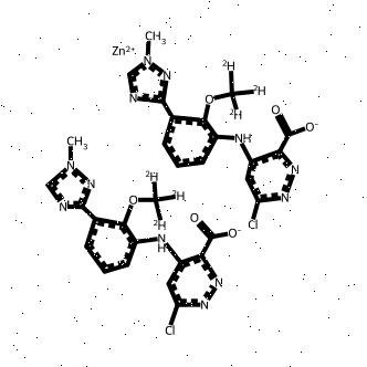 [2H]C([2H])([2H])Oc1c(Nc2cc(Cl)nnc2C(=O)[O-])cccc1-c1ncn(C)n1.[2H]C([2H])([2H])Oc1c(Nc2cc(Cl)nnc2C(=O)[O-])cccc1-c1ncn(C)n1.[Zn+2]